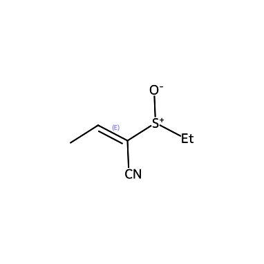 C/C=C(\C#N)[S+]([O-])CC